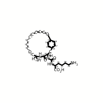 CC(C)[C@H]1COCCCCCCCCOc2ccc(cc2)C[C@@H](NC(=O)NC(CCCCN)C(=O)O)C(=O)N1